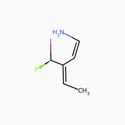 C/C=C(\C=C/N)[C@@H](F)I